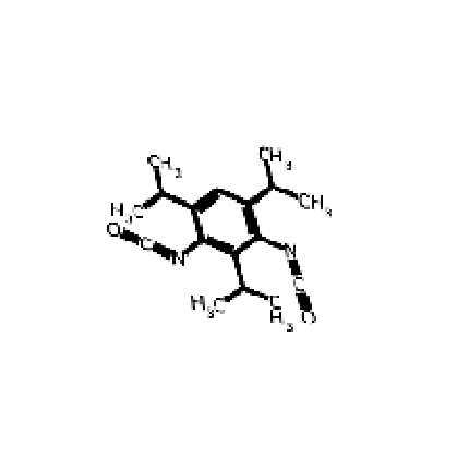 CC(C)c1cc(C(C)C)c(N=C=O)c(C(C)C)c1N=C=O